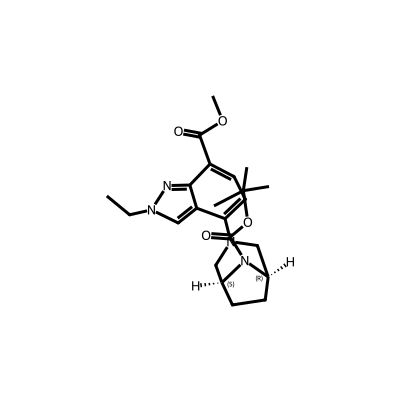 CCn1cc2c(N3C[C@H]4CC[C@@H](C3)N4C(=O)OC(C)(C)C)ccc(C(=O)OC)c2n1